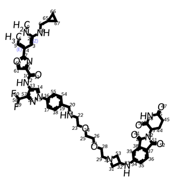 C=N/C(=C\C(=C/C)c1nc(C(=O)Nc2cn(-c3ccc(CNCCOCCOCCN4CC(Nc5ccc6c(c5)C(=O)N(C5CCC(=O)NC5=O)C6=O)C4)cc3)nc2C(F)F)co1)NCC1CC1